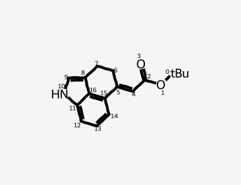 CC(C)(C)OC(=O)/C=C1\CCc2c[nH]c3cccc1c23